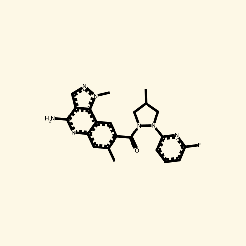 Cc1cc2nc(N)c3cnn(C)c3c2cc1C(=O)N1CC(C)CN1c1cccc(F)n1